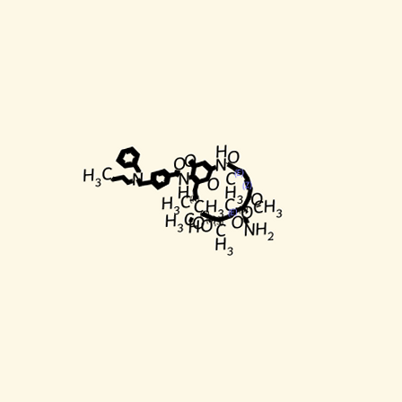 CCCCN(Cc1ccccc1)Cc1ccc(C(=O)NC2=C3C[C@@H](C)C[C@H](OC)[C@H](O)[C@@H](C)/C=C(\C)[C@H](OC(N)=O)C(OC)/C=C\C=C(/C)C(=O)NC(=CC2=O)C3=O)cc1